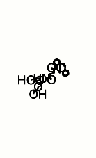 O=C(CCC(=O)N1Cc2ccccc2C#Cc2ccccc21)NCC(COCCO)OCCO